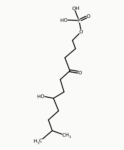 CC(C)CCC(O)CCC(=O)CCCOP(=O)(O)O